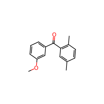 COc1cccc(C(=O)c2cc(C)ccc2C)c1